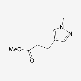 COC(=O)CCc1cnn(C)c1